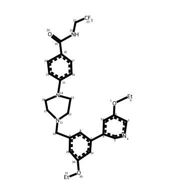 CCOc1cncc(-c2cc(CN3CCN(c4ccc(C(=O)NCC(F)(F)F)cc4)CC3)cc(OCC)c2)c1